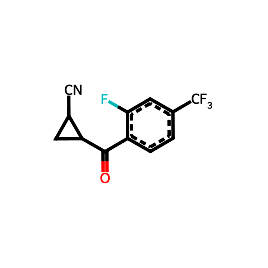 N#CC1CC1C(=O)c1ccc(C(F)(F)F)cc1F